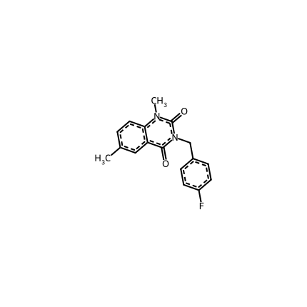 Cc1ccc2c(c1)c(=O)n(Cc1ccc(F)cc1)c(=O)n2C